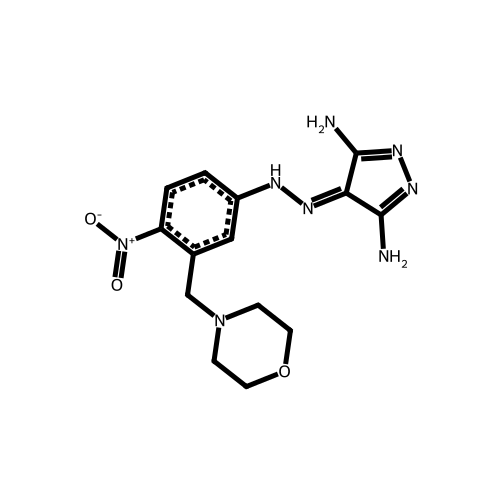 NC1=NN=C(N)C1=NNc1ccc([N+](=O)[O-])c(CN2CCOCC2)c1